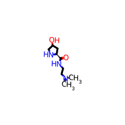 CN(C)CCNC(=O)[C@@H]1CC(O)CN1